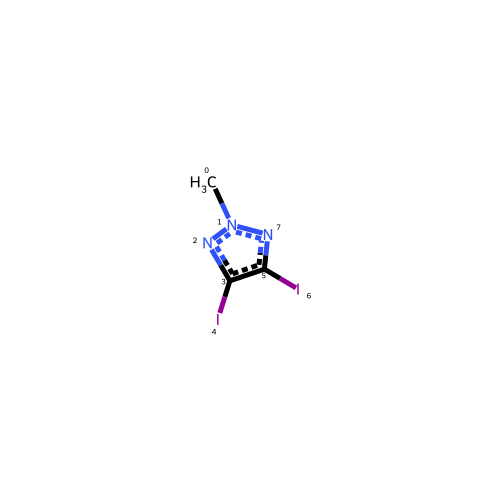 Cn1nc(I)c(I)n1